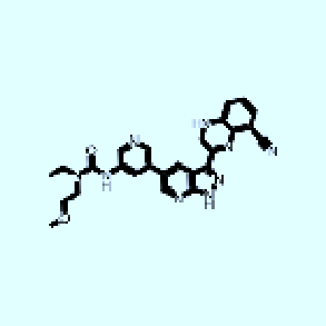 CCN(CCOC)C(=O)Nc1cncc(-c2cnc3[nH]nc(C4=Nc5c(C#N)cccc5NC4)c3c2)c1